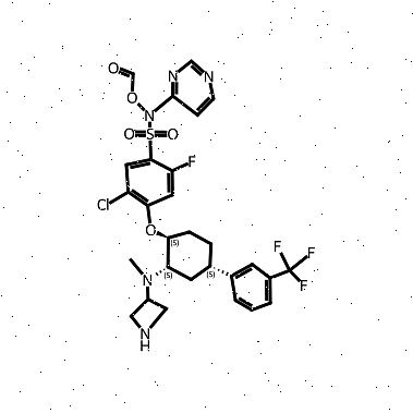 CN(C1CNC1)[C@H]1C[C@@H](c2cccc(C(F)(F)F)c2)CC[C@@H]1Oc1cc(F)c(S(=O)(=O)N(OC=O)c2ccncn2)cc1Cl